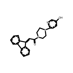 O=C(C=C1c2ccccc2-c2ccccc21)N1CCN(c2ccc(O)cn2)CC1